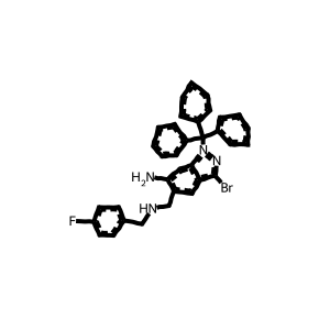 Nc1cc2c(cc1CNCc1ccc(F)cc1)c(Br)nn2C(c1ccccc1)(c1ccccc1)c1ccccc1